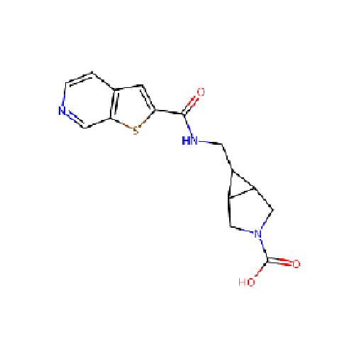 O=C(NCC1C2CN(C(=O)O)CC12)c1cc2ccncc2s1